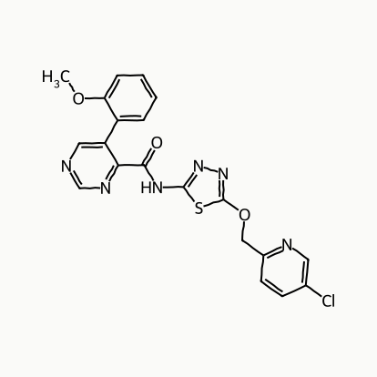 COc1ccccc1-c1cncnc1C(=O)Nc1nnc(OCc2ccc(Cl)cn2)s1